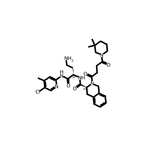 Cc1cc(NC(=O)[C@H](CCN)NC(=O)[C@@H]2Cc3ccccc3CN2C(=O)CCC(=O)N2CCCC(C)(C)C2)ncc1Cl